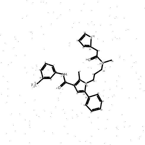 Cc1c(C(=O)Nc2cccc(C(F)(F)F)c2)cc(-c2ccccc2)n1CCCN(C)C(=O)Cc1cccs1